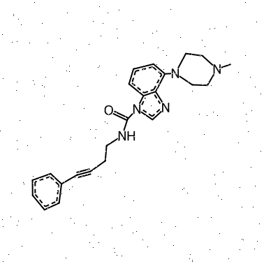 CN1CCN(c2cccc3c2ncn3C(=O)NCCC#Cc2ccccc2)CC1